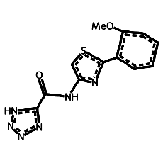 COc1ccccc1-c1nc(NC(=O)c2nnn[nH]2)cs1